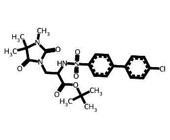 CN1C(=O)N(CC(NS(=O)(=O)c2ccc(-c3ccc(Cl)cc3)cc2)C(=O)OC(C)(C)C)C(=O)C1(C)C